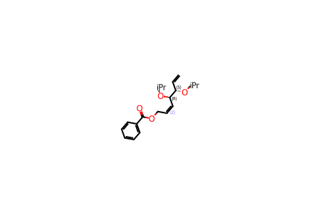 C=C[C@H](OC(C)C)[C@@H](/C=C\COC(=O)c1ccccc1)OC(C)C